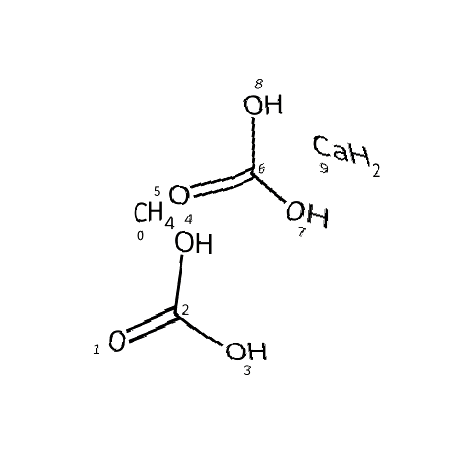 C.O=C(O)O.O=C(O)O.[CaH2]